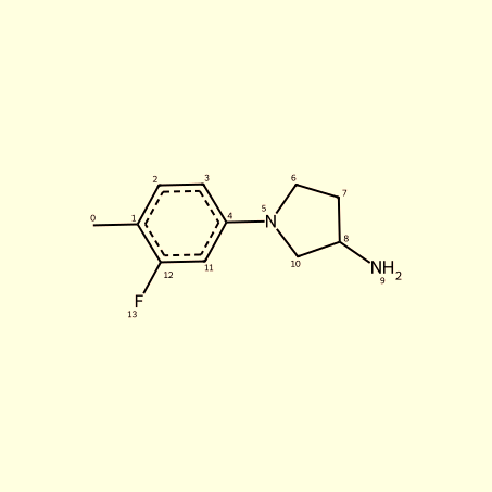 Cc1ccc(N2CCC(N)C2)cc1F